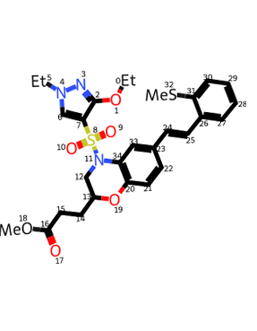 CCOc1nn(CC)cc1S(=O)(=O)N1CC(CCC(=O)OC)Oc2ccc(/C=C/c3ccccc3SC)cc21